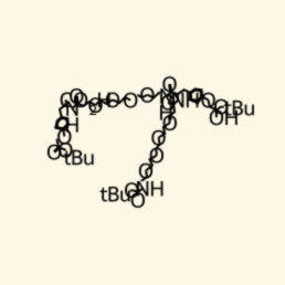 CC(C)(C)OC(=O)COc1ccc(CC(NC(=O)CCOCCOCCOCCOCCNC(=O)C(Cc2ccc(OCC(O)OC(C)(C)C)cc2)NC(=O)CCOCCOCCOCCOCCNC(=O)OC(C)(C)C)C(=O)O)cc1